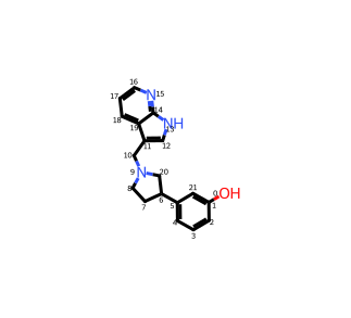 Oc1cccc(C2CCN(Cc3c[nH]c4ncccc34)C2)c1